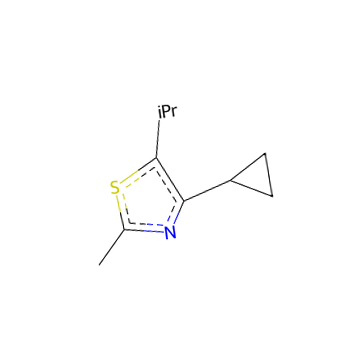 Cc1nc(C2CC2)c(C(C)C)s1